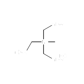 CCCCCCCCCCC[N+](C)(CCCCCCCCCCC)CCCCCCCCCCC.[OH-]